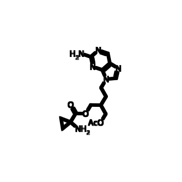 CC(=O)OCC(CCn1cnc2cnc(N)nc21)COC(=O)C1(N)CC1